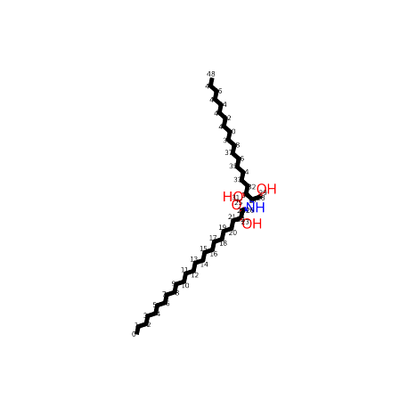 CCCCCCCCCCCCCCCCCCCCCCC(O)C(=O)NC(CO)C(O)CCCCCCCCCCCCCCCCC